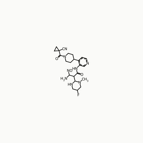 CN1CC(F)CNC1C(C(=O)Nc1cnccc1C1CCN(C(=O)C2(C#N)CC2)CC1)C(N)N=O